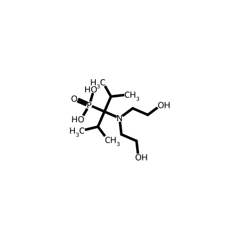 CC(C)C(C(C)C)(N(CCO)CCO)P(=O)(O)O